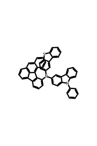 c1ccc(-n2c3ccccc3c3cc(N(c4ccc5sc6ccccc6c5c4)c4cccc5c4-c4c6ccccc6cc6cccc-5c46)ccc32)cc1